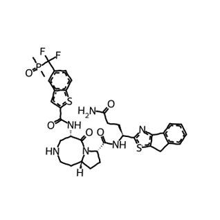 CP(C)(=O)C(F)(F)c1ccc2sc(C(=O)N[C@H]3CNCC[C@H]4CC[C@@H](C(=O)N[C@@H](CCC(N)=O)c5nc6c(s5)Cc5ccccc5-6)N4C3=O)cc2c1